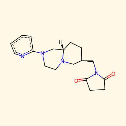 O=C1CCC(=O)N1C[C@@H]1CC[C@H]2CN(c3ccccn3)CCN2C1